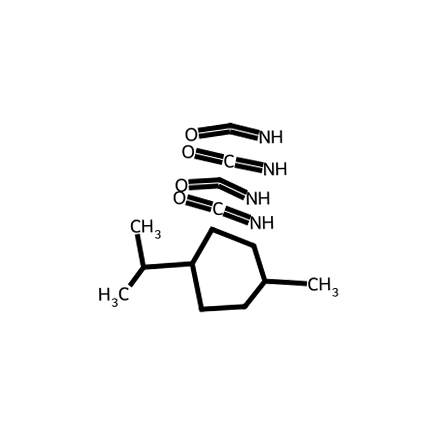 CC1CCC(C(C)C)CC1.N=C=O.N=C=O.N=C=O.N=C=O